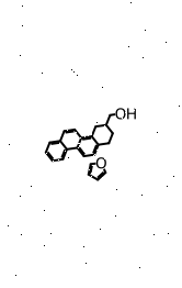 OCC1CCc2ccc3c(ccc4ccccc43)c2C1.c1ccoc1